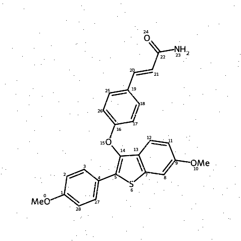 COc1ccc(-c2sc3cc(OC)ccc3c2Oc2ccc(C=CC(N)=O)cc2)cc1